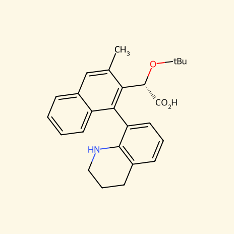 Cc1cc2ccccc2c(-c2cccc3c2NCCC3)c1[C@H](OC(C)(C)C)C(=O)O